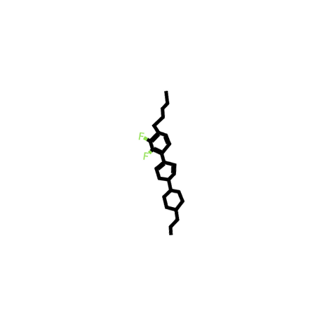 CCCCCc1ccc(C2=CCC(C3CCC(CCC)CC3)C=C2)c(F)c1F